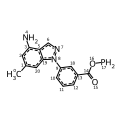 Cc1cc(N)c2cnn(-c3cccc(C(=O)OP)c3)c2c1